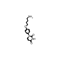 NCCCCOc1ccc(-n2ccc(=O)[nH]c2=O)cc1